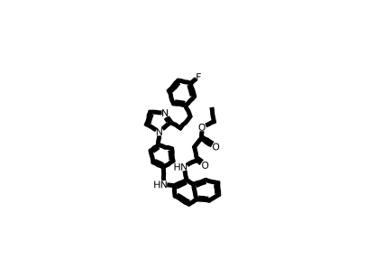 CCOC(=O)CC(=O)Nc1c(Nc2ccc(-n3ccnc3CCc3cccc(F)c3)cc2)ccc2ccccc12